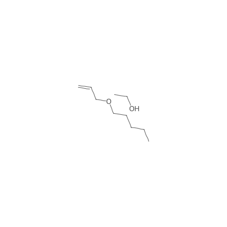 C=CCOCCCCC.CCO